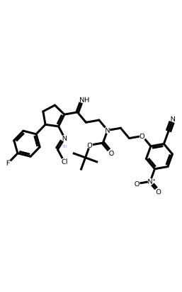 CC(C)(C)OC(=O)N(CCOc1cc([N+](=O)[O-])ccc1C#N)CCC(=N)C1=C(/N=C/Cl)C(c2ccc(F)cc2)CC1